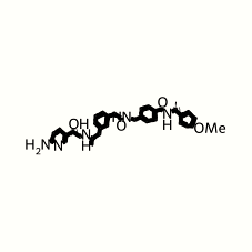 COc1ccc([C@@H](C)NC(=O)c2ccc(CNC(=O)Cc3cccc(CC(C)NC[C@@H](O)c4ccc(N)nc4)c3)cc2)cc1